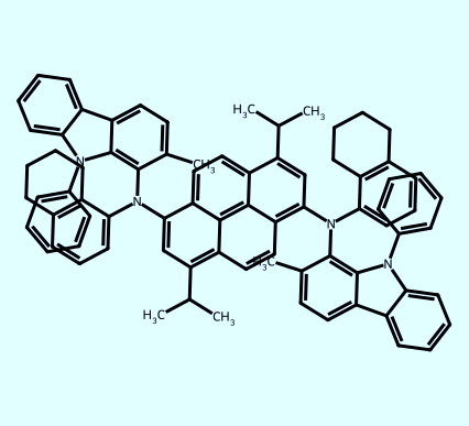 Cc1ccc2c3ccccc3n(-c3ccccc3)c2c1N(c1cccc2c1CCCC2)c1cc(C(C)C)c2ccc3c(N(c4cccc5c4CCCC5)c4c(C)ccc5c6ccccc6n(-c6ccccc6)c45)cc(C(C)C)c4ccc1c2c43